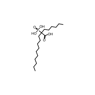 CCCCCCCCCCC(CCCCCC)(C(=O)O)P(=O)(O)O